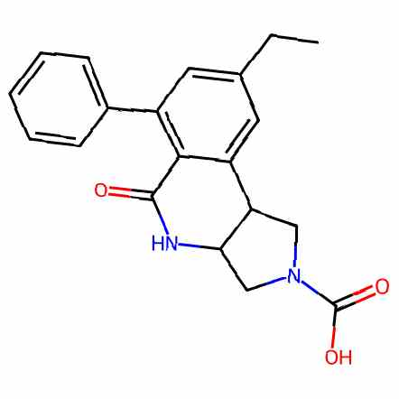 CCc1cc(-c2ccccc2)c2c(c1)C1CN(C(=O)O)CC1NC2=O